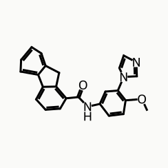 COc1ccc(NC(=O)c2cccc3c2Cc2ccccc2-3)cc1-n1ccnc1